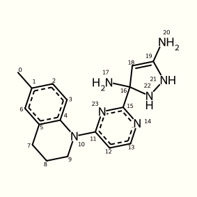 Cc1ccc2c(c1)CCCN2c1ccnc(C2(N)C=C(N)NN2)n1